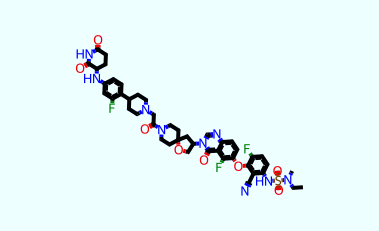 CCN(C)S(=O)(=O)Nc1ccc(F)c(Oc2ccc3ncn(C4COC5(CCN(C(=O)CN6CCC(c7ccc(NC8CCC(=O)NC8=O)cc7F)CC6)CC5)C4)c(=O)c3c2F)c1C#N